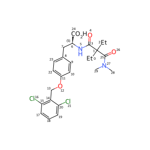 CCC(CC)(C(=O)N[C@@H](Cc1ccc(OCc2c(Cl)cccc2Cl)cc1)C(=O)O)C(=O)N(C)C